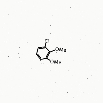 COc1[c]ccc(Cl)c1OC